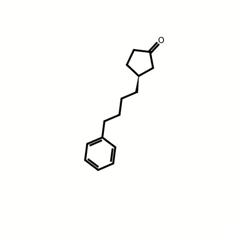 O=C1CC[C@H](CCCCc2ccccc2)C1